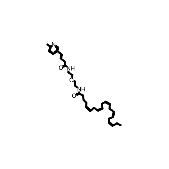 CC/C=C\C/C=C\C/C=C\C/C=C\C/C=C\CCCC(=O)NCCOCCNC(=O)C/C=C/c1ccc(C)nc1